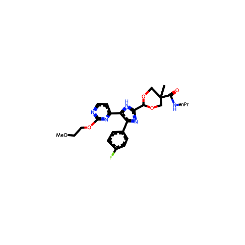 CCCNC(=O)C1(C)COC(c2nc(-c3ccc(F)cc3)c(-c3ccnc(OCCOC)n3)[nH]2)OC1